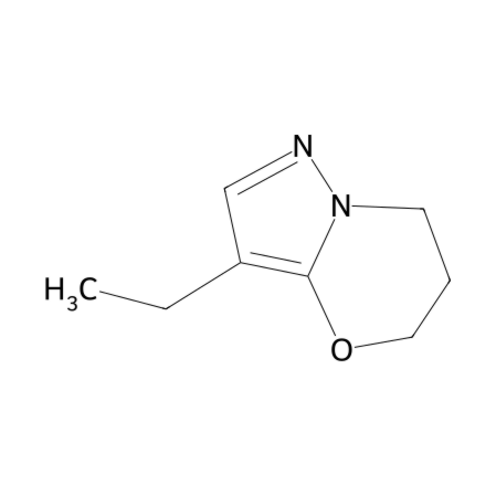 CCc1cnn2c1OCCC2